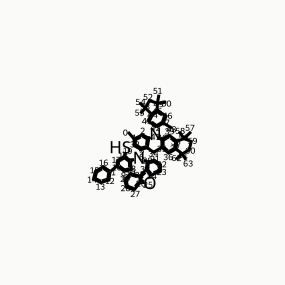 Cc1cc2c(c(N(c3ccc(-c4ccccc4)cc3S)c3cccc4oc5ccccc5c34)c1)Cc1cc3c(cc1N2c1cc2c(cc1C)C(C)(C)CC2(C)C)C(C)(C)CCC3(C)C